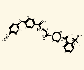 [C-]#[N+]c1ccc(Oc2ccc(C(=O)NCC(=O)N3CCN(C(=O)c4ccccc4C(F)(F)F)CC3)cc2)nc1